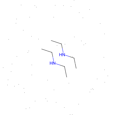 CCNCC.CCNCC